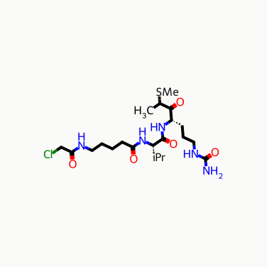 CSC(C)C(=O)[C@H](CCCNC(N)=O)NC(=O)[C@@H](NC(=O)CCCCNC(=O)CCl)C(C)C